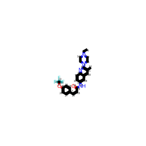 CCN1CCN(c2nc3ccc(NC(=O)/C=C\c4ccc(OC(F)(F)F)cc4)cc3cc2C)CC1